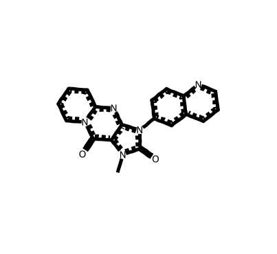 Cn1c(=O)n(-c2ccc3ncccc3c2)c2nc3ccccn3c(=O)c21